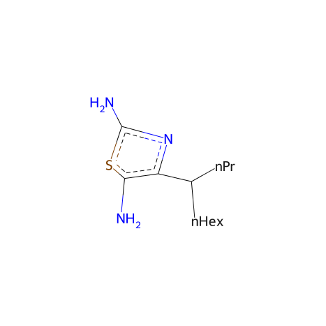 CCCCCCC(CCC)c1nc(N)sc1N